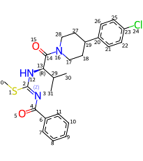 CS/C(=N\C(=O)c1ccccc1)N[C@@H](C(=O)N1CCC(c2ccc(Cl)cc2)CC1)C(C)C